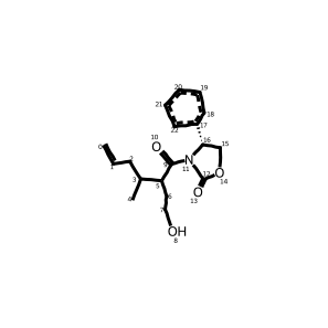 C=CCC(C)C(CCO)C(=O)N1C(=O)OC[C@H]1c1ccccc1